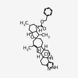 CC1=C2C[C@H]3[C@@H](CC[C@@H]4c5c[nH]nc5CC[C@@]43C)[C@@H]2CC[C@@]2(C1)O[C@@H]1C[C@H](C)CN(C(=O)OCc3ccccc3)[C@H]1[C@H]2C